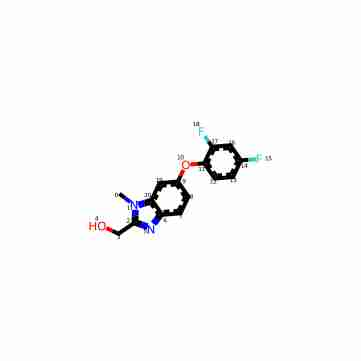 Cn1c(CO)nc2ccc(Oc3ccc(F)cc3F)cc21